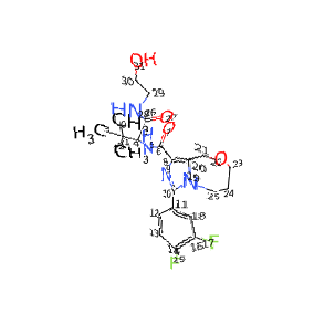 CC(C)(C)C(NC(=O)c1nc(-c2ccc(F)c(F)c2)n2c1COCCC2)C(=O)NCCO